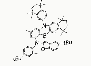 Cc1cc2c3c(c1)N(c1ccc(C(C)(C)C)cc1C)c1oc4ccc(C(C)(C)C)cc4c1B3c1cc3c(cc1N2c1ccc2c(c1)C(C)(C)CCC2(C)C)C(C)(C)CCC3(C)C